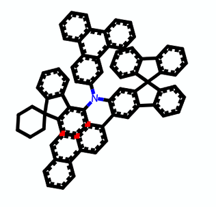 c1ccc2c(c1)-c1c(N(c3ccc4c5ccccc5c5ccccc5c4c3)c3cc4c(cc3-c3ccc5c(ccc6ccccc65)c3)-c3ccccc3C43c4ccccc4-c4ccccc43)cccc1C21CCCCC1